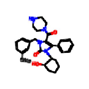 COc1cccc(Cn2c(C(=O)N3CCNCC3)c(-c3ccccc3)n([C@H]3CCCC[C@H]3O)c2=O)c1